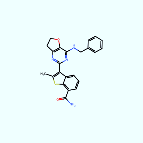 Cc1sc2c(C(N)=O)cccc2c1-c1nc2c(c(NCc3ccccc3)n1)OCC2